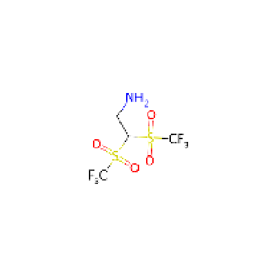 NCC(S(=O)(=O)C(F)(F)F)S(=O)(=O)C(F)(F)F